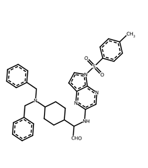 Cc1ccc(S(=O)(=O)n2ccc3nc(NC(C=O)C4CCC(N(Cc5ccccc5)Cc5ccccc5)CC4)cnc32)cc1